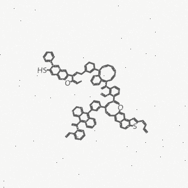 C=C/C=C\c1cc2c(ccc3cc4ccc(-c5cccc(-c6c7c(c(C(=C)c8ccccc8C=C)c8ccccc68)=CCCC=7)c5)cc(-c5cccc(C(=C)c6ccccccc(C7=CC(C/C=c8\c(=C/C)oc9cc%10cc(S)c(-c%11ccccc%11)cc%10cc89)=CCC7)c7ccccc67)c5C=C)coc4cc32)s1